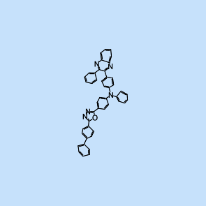 c1ccc(-c2ccc(-c3nnc(-c4ccc(N(c5ccccc5)c5ccc(-c6nc7ccccc7nc6-c6ccccc6)cc5)cc4)o3)cc2)cc1